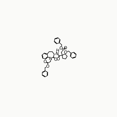 O=C(CN1C(=O)[C@@H](NC(=O)C2(CP(=O)(OCc3ccccc3)OCc3ccccc3)CCCC2)CCc2ccccc21)OCc1ccccc1